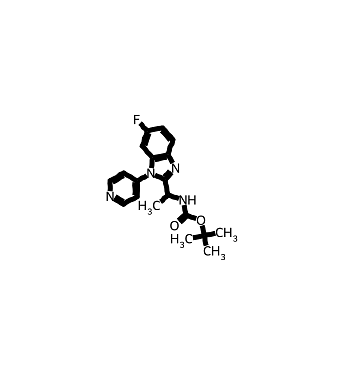 CC(NC(=O)OC(C)(C)C)c1nc2ccc(F)cc2n1-c1ccncc1